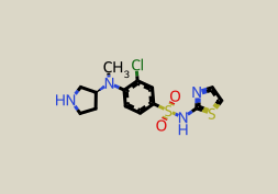 CN(c1ccc(S(=O)(=O)Nc2nccs2)cc1Cl)[C@H]1CCNC1